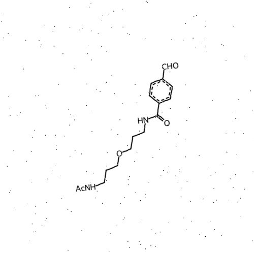 CC(=O)NCCCOCCCNC(=O)c1ccc(C=O)cc1